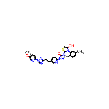 Cc1ccc(C(C)C)c(N2/C(=N/C(=O)Nc3ccc(CCc4ncn(-c5ccc(OC(F)(F)F)cn5)n4)cn3)SCC2O)c1